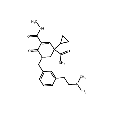 CNC(=O)C1=CC(C(N)=O)(C2CC2)CN(Cc2cccc(CCN(C)C)c2)C1=O